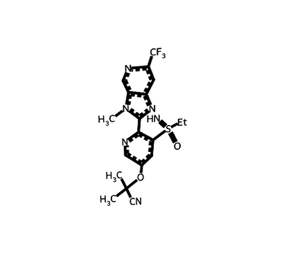 CCS(=N)(=O)c1cc(OC(C)(C)C#N)cnc1-c1nc2cc(C(F)(F)F)ncc2n1C